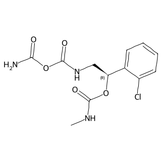 CNC(=O)O[C@@H](CNC(=O)OC(N)=O)c1ccccc1Cl